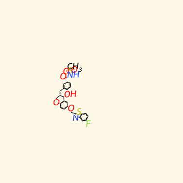 CS(=O)(=O)NC(=O)c1cccc(CC2COc3ccc(OCc4nc5cc(F)ccc5s4)cc3C2O)c1